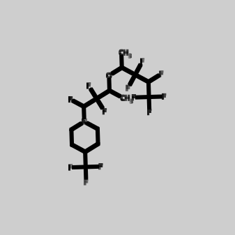 CC(OC(C)C(F)(F)C(F)C(F)(F)F)C(F)(F)C(F)N1CCC(C(F)(F)F)CC1